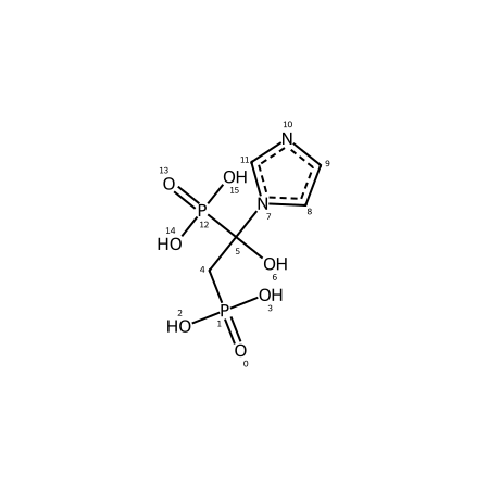 O=P(O)(O)CC(O)(n1ccnc1)P(=O)(O)O